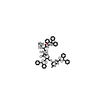 Cc1cc(SCC2=C(C(=O)OC(c3ccccc3)c3ccccc3)N3C(=O)[C@@H](NC(=O)C(NC(=O)OC(C)(C)C)c4csc(NC(c5ccccc5)(c5ccccc5)c5ccccc5)n4)[C@H]3SC2)n2nc(C(=O)OC(c3ccccc3)c3ccccc3)nc2n1